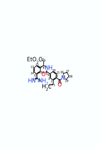 C=Cc1cc(C(=O)NC(CC(=O)OCC)c2cccc(C(=N)N)c2)ccc1C(=O)N1CCCC1